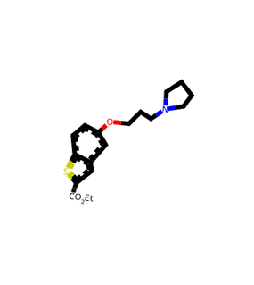 CCOC(=O)c1cc2cc(OCCCN3CCCC3)ccc2s1